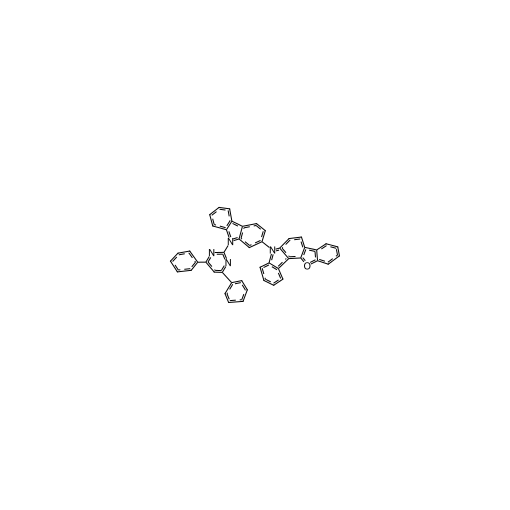 c1ccc(-c2cc(-c3ccccc3)nc(-n3c4ccccc4c4ccc(-n5c6ccccc6c6c7oc8ccccc8c7ccc65)cc43)n2)cc1